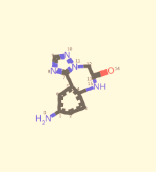 Nc1ccc2c(c1)-c1ncnn1CC(=O)N2